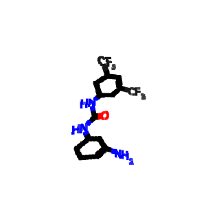 NC1=CCCC(NC(=O)NC2CC(C(F)(F)F)=CC(C(F)(F)F)C2)C1